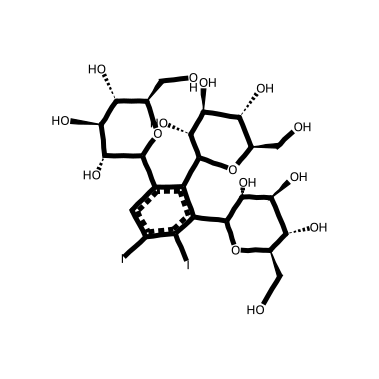 OC[C@H]1OC(c2cc(I)c(I)c(C3O[C@H](CO)[C@@H](O)[C@H](O)[C@H]3O)c2C2O[C@H](CO)[C@@H](O)[C@H](O)[C@H]2O)[C@H](O)[C@@H](O)[C@@H]1O